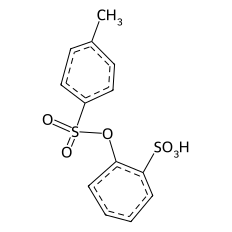 Cc1ccc(S(=O)(=O)Oc2ccccc2S(=O)(=O)O)cc1